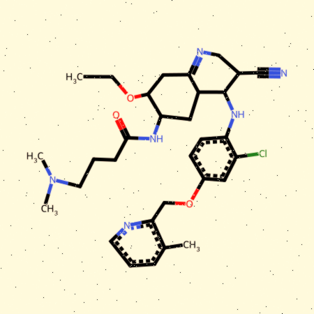 CCOC1CC2=NCC(C#N)C(Nc3ccc(OCc4ncccc4C)cc3Cl)C2CC1NC(=O)CCCN(C)C